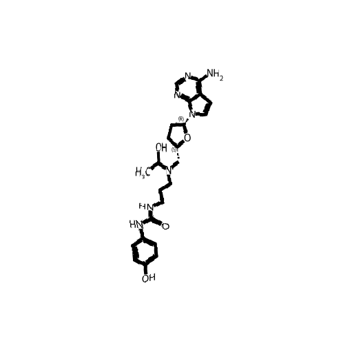 CC(O)N(CCCNC(=O)Nc1ccc(O)cc1)C[C@@H]1CC[C@H](n2ccc3c(N)ncnc32)O1